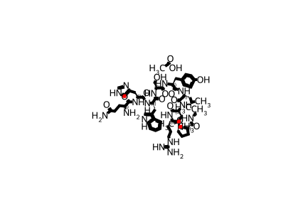 CC(=O)O.CCNC(=O)[C@@H]1CCCN1C(=O)[C@H](CCCNC(=N)N)NC(=O)[C@H](CC(C)C)NC(=O)[C@@H](CC(C)C)NC(=O)[C@H](Cc1ccc(O)cc1)NC(=O)[C@H](CO)NC(=O)[C@H](Cc1c[nH]c2ccccc12)NC(=O)[C@H](Cc1c[nH]cn1)NC(=O)[C@@H](N)CCC(N)=O